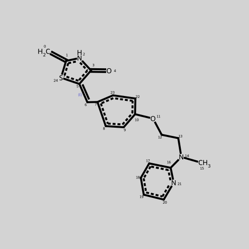 C=c1[nH]c(=O)/c(=C\c2ccc(OCCN(C)c3ccccn3)cc2)s1